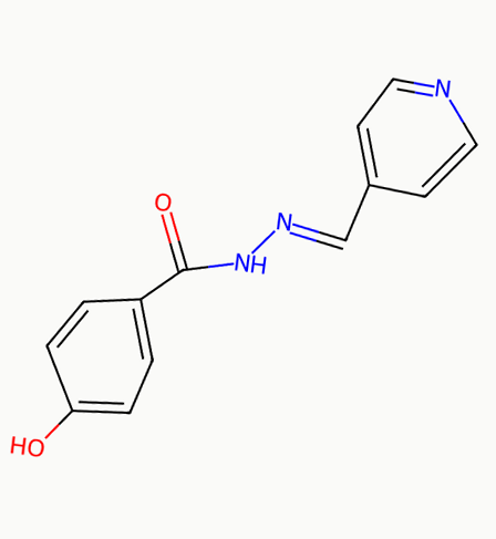 O=C(NN=Cc1ccncc1)c1ccc(O)cc1